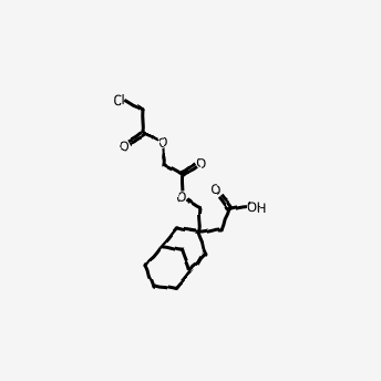 O=C(O)CC1(COC(=O)COC(=O)CCl)CC2CCCC(C2)C1